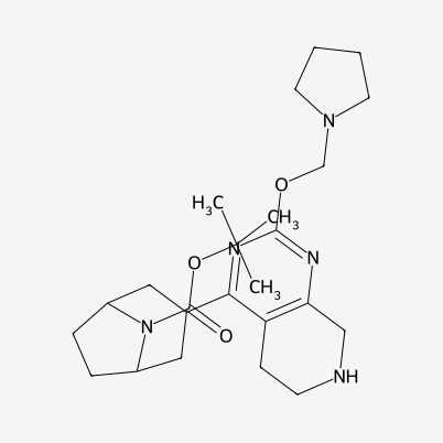 CC(C)(C)OC(=O)N1C2CCC1CC(c1nc(OCN3CCCC3)nc3c1CCNC3)C2